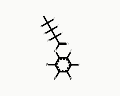 CC(F)(F)C(F)(F)C(F)(F)C(=O)Oc1c(F)c(F)c(F)c(F)c1F